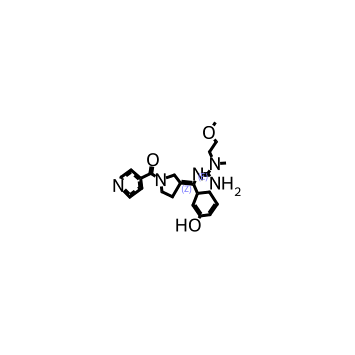 COCCN(C)/C(N)=N/C(=C1/CCN(C(=O)c2ccncc2)C1)C1C=C(O)C=CC1